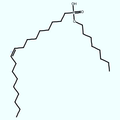 CCCCCCCC/C=C\CCCCCCCCP(=O)(O)OCCCCCCCC